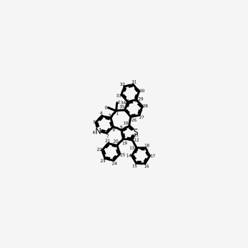 CC1(C)c2ccncc2-c2c(sc(-c3ccccc3)c2-c2ccccc2)-c2ccc3ccccc3c21